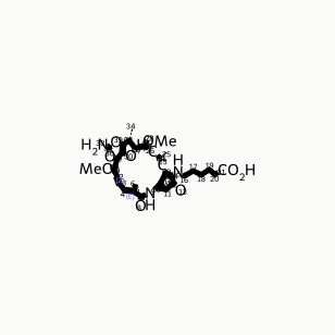 CO[C@H]1/C=C\C=C(/C)C(=O)NC2=CC(=O)C(NCCCCCC(=O)O)=C(C[C@@H](C)C[C@H](OC)[C@H]3OC(=C[C@@H]3C)[C@@H]1OC(N)=O)C2=O